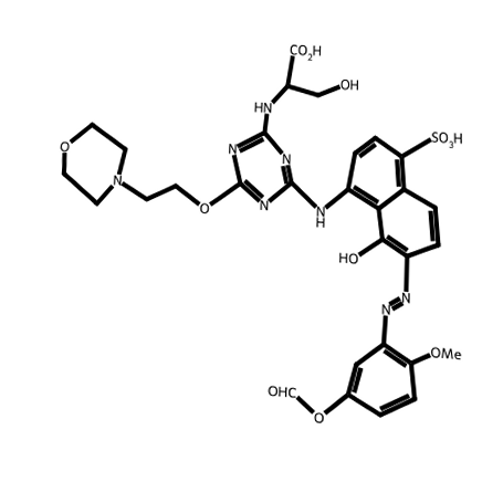 COc1ccc(OC=O)cc1N=Nc1ccc2c(S(=O)(=O)O)ccc(Nc3nc(NC(CO)C(=O)O)nc(OCCN4CCOCC4)n3)c2c1O